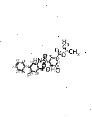 CC(C)OC(=O)c1cc(Cl)c(O)c(S(=O)(=O)Nc2cc(-c3cc#ccc3)c(F)cc2F)c1